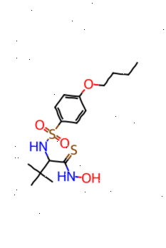 CCCCOc1ccc(S(=O)(=O)NC(C(=S)NO)C(C)(C)C)cc1